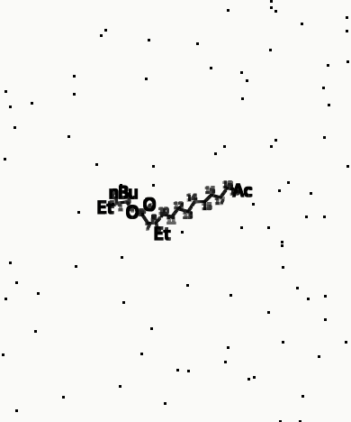 CCCCC(CC)COC(=O)CC(CC)CCCCCCCCCC(C)=O